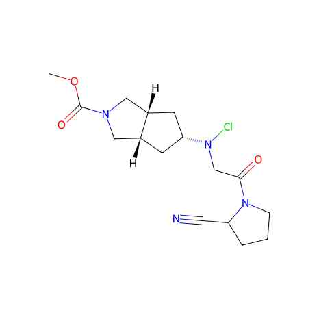 COC(=O)N1C[C@H]2C[C@@H](N(Cl)CC(=O)N3CCCC3C#N)C[C@H]2C1